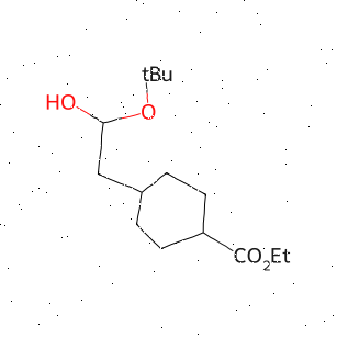 CCOC(=O)C1CCC(CC(O)OC(C)(C)C)CC1